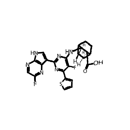 O=C(O)[C@@H]1C2CCC(CC2)[C@H]1Nc1nc(-c2c[nH]c3ncc(F)nc23)nc(-c2cccs2)c1F